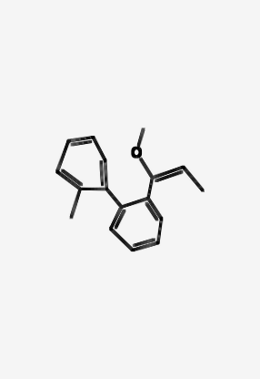 C/C=C(/OC)c1ccccc1-c1ccccc1C